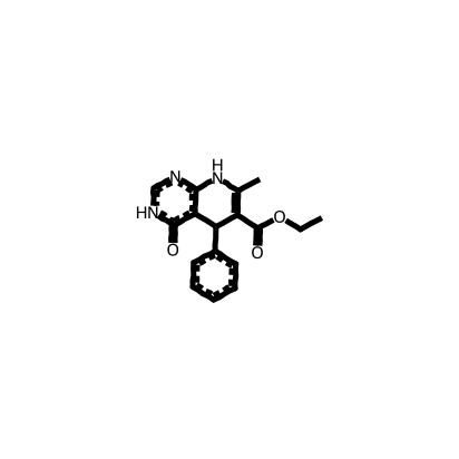 CCOC(=O)C1=C(C)Nc2nc[nH]c(=O)c2C1c1ccccc1